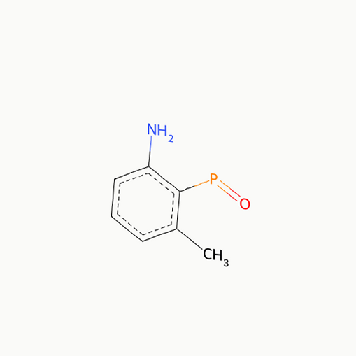 Cc1cccc(N)c1P=O